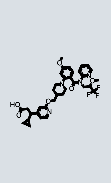 COc1ccc(C(=O)N(CC(OC)C(F)(F)F)c2ccccn2)c(N2CCC(COc3cc(C(CC(=O)O)C4CC4)ccn3)CC2)c1